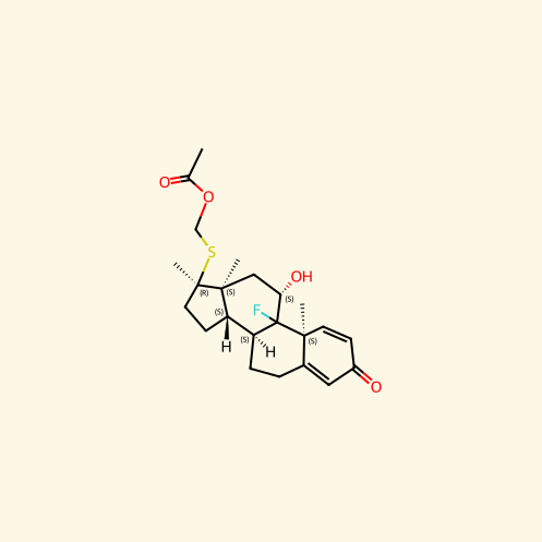 CC(=O)OCS[C@]1(C)CC[C@H]2[C@@H]3CCC4=CC(=O)C=C[C@]4(C)C3(F)[C@@H](O)C[C@@]21C